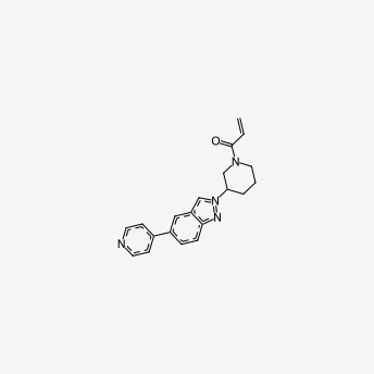 C=CC(=O)N1CCCC(n2cc3cc(-c4ccncc4)ccc3n2)C1